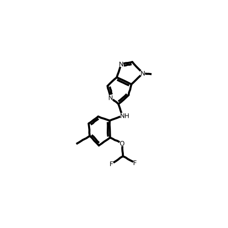 Cc1ccc(Nc2cc3c(cn2)ncn3C)c(OC(F)F)c1